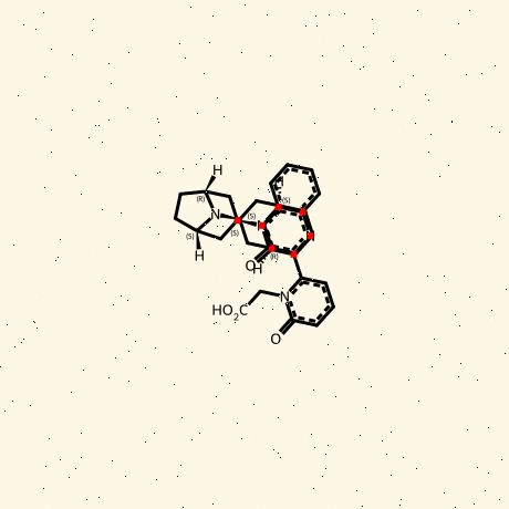 O=C(O)Cn1c(-c2nc3ccccc3n([C@@H]3C[C@H]4CC[C@@H](C3)N4[C@@H]3C[C@@H]4CCC[C@@H](C4)C3)c2=O)cccc1=O